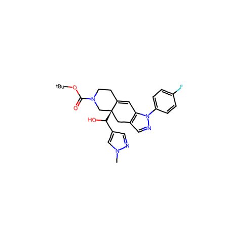 Cn1cc(C(O)[C@]23Cc4cnn(-c5ccc(F)cc5)c4C=C2CCN(C(=O)OC(C)(C)C)C3)cn1